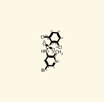 Cc1ncc(Br)cc1NS(=O)(=O)c1c(Cl)cccc1Cl